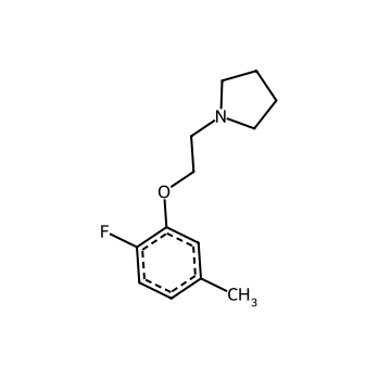 Cc1ccc(F)c(OCCN2CCCC2)c1